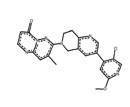 COc1cc(-c2cnc3c(c2)CN(c2nn4c(=O)ccnc4cc2C)CC3)c(Cl)cn1